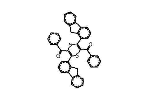 O=C(C1=C(c2cccc3c2Cc2ccccc2-3)SC(C(=O)c2ccccc2)=C(c2cccc3c2Cc2ccccc2-3)S1)c1ccccc1